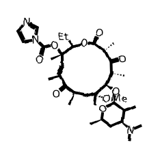 CC[C@H]1OC(=O)[C@H](C)C(=O)[C@H](C)[C@@H](O[C@@H]2O[C@H](C)C[C@H](N(C)C)C2C)[C@](C)(OC)C[C@@H](C)C(=O)/C(C)=C/[C@]1(C)OC(=O)n1ccnc1